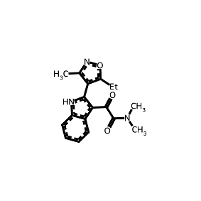 CCc1onc(C)c1-c1[nH]c2ccccc2c1C(=O)C(=O)N(C)C